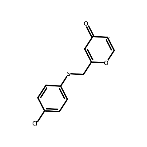 O=c1[c]coc(CSc2ccc(Cl)cc2)c1